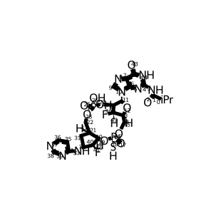 CC(C)C(=O)Nc1nc2c(ncn2[C@@H]2O[C@@H]3COP(=O)(S)O[C@@H]4[C@@H](COP(=O)(O)O[C@@H]2[C@@H]3F)C[C@@H](Nc2ccncn2)[C@@H]4F)c(=O)[nH]1